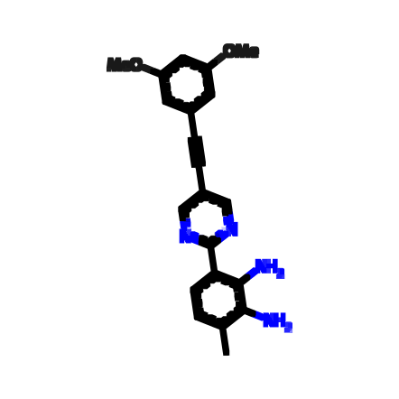 COc1cc(C#Cc2cnc(-c3ccc(C)c(N)c3N)nc2)cc(OC)c1